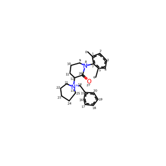 Cc1cccc(C)c1N1CCCC([N+]2(Cc3ccccc3)CCCCC2)C1=O